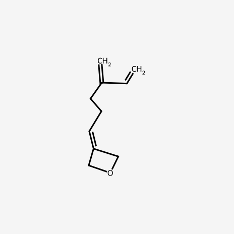 C=CC(=C)CCC=C1COC1